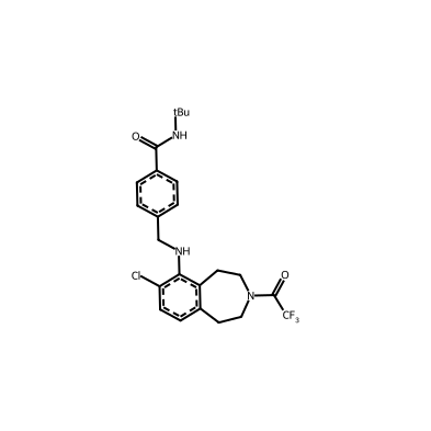 CC(C)(C)NC(=O)c1ccc(CNc2c(Cl)ccc3c2CCN(C(=O)C(F)(F)F)CC3)cc1